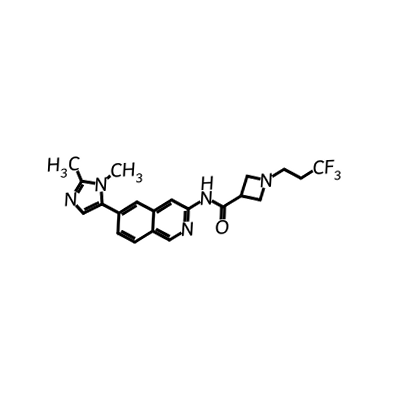 Cc1ncc(-c2ccc3cnc(NC(=O)C4CN(CCC(F)(F)F)C4)cc3c2)n1C